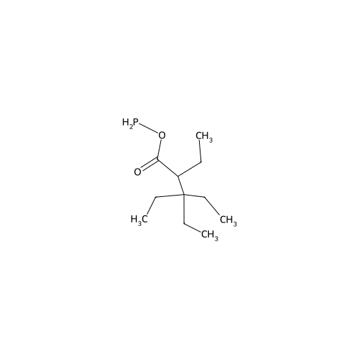 CCC(C(=O)OP)C(CC)(CC)CC